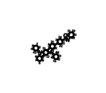 c1ccc(-n2c3ccccc3c3cc4c(cc32)c2ccc(-c3ccc(-c5nc6ccccc6o5)cc3)cc2n4-c2ccccc2)cc1